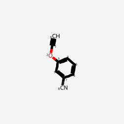 C#COc1cccc(C#N)c1